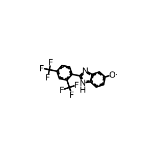 [O]c1ccc2[nH]c(-c3ccc(C(F)(F)F)cc3C(F)(F)F)nc2c1